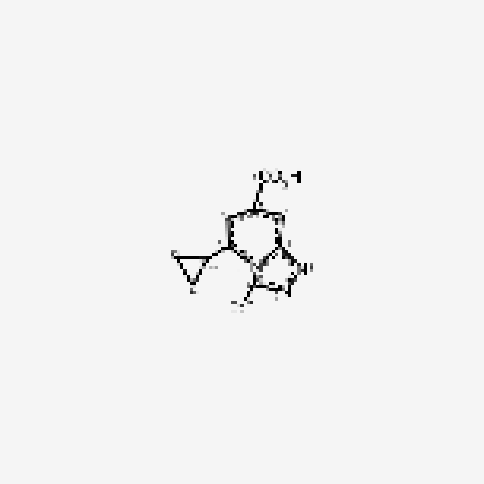 CCc1nnc2cc(C(=O)O)cc(C3CC3)n12